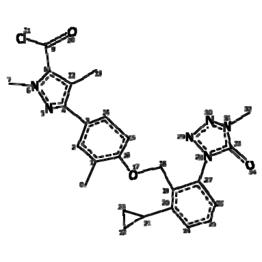 Cc1cc(-c2nn(C)c(C(=O)Cl)c2C)ccc1OCc1c(C2CC2)cccc1-n1nnn(C)c1=O